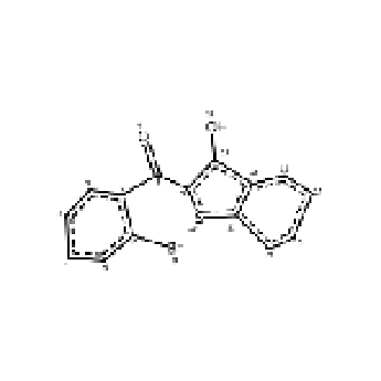 O=C(c1ccccc1Br)c1sc2ccccc2c1O